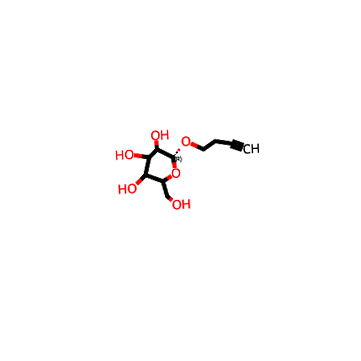 C#CCCO[C@@H]1OC(CO)C(O)C(O)C1O